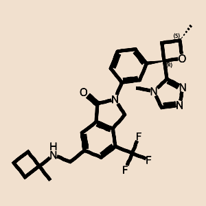 C[C@H]1C[C@@](c2cccc(N3Cc4c(cc(CNC5(C)CCC5)cc4C(F)(F)F)C3=O)c2)(c2nncn2C)O1